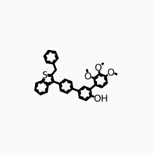 COc1ccc(-c2cc(-c3ccc(-c4c(Cc5ccccc5)sc5ccccc45)cc3)ccc2O)c(OC)c1OC